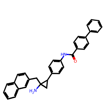 NC1(Cc2ccc3ccccc3c2)CC1c1ccc(NC(=O)c2ccc(-c3ccccc3)cc2)cc1